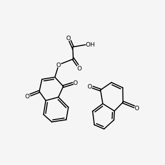 O=C(O)C(=O)OC1=CC(=O)c2ccccc2C1=O.O=C1C=CC(=O)c2ccccc21